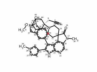 CO[C@H]1CC[C@](CC#N)(N2CCC3(CC2)C(=O)N(C)c2cnc4[nH]c(-c5cnn(C)c5)c(-c5ccc6c(cnn6C)c5)c4c23)CC1